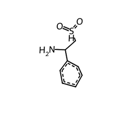 NC(C[SH](=O)=O)c1ccccc1